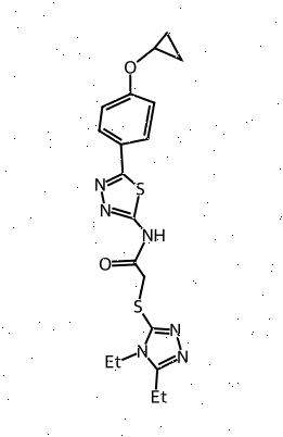 CCc1nnc(SCC(=O)Nc2nnc(-c3ccc(OC4CC4)cc3)s2)n1CC